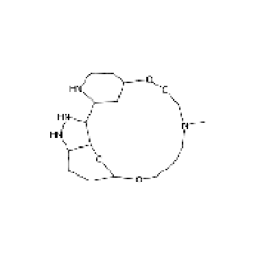 CN1CCCOC2CCC3NNC(C4CC(CCN4)OCC1)C3C2